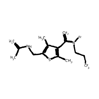 C=C(C)NCc1sc(C)c(C(=C)N(CC)CCC(F)(F)F)c1C